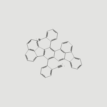 N#Cc1ccccc1-c1c2cc3c4ccccc4c4cccc(c2c(-c2ccccc2C#N)c2c5cccc6cccc(c12)c65)c43